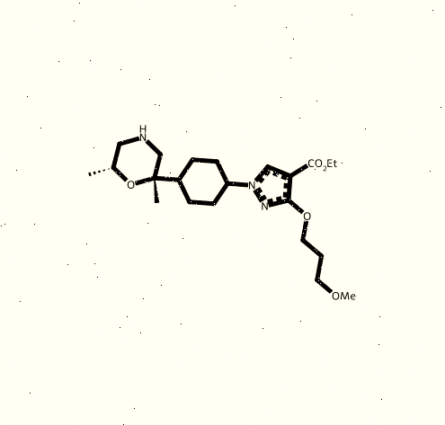 CCOC(=O)c1cn(C2CCC([C@@]3(C)CNC[C@@H](C)O3)CC2)nc1OCCCOC